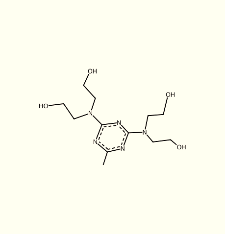 Cc1nc(N(CCO)CCO)nc(N(CCO)CCO)n1